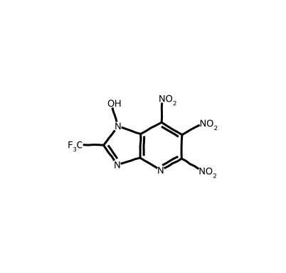 O=[N+]([O-])c1nc2nc(C(F)(F)F)n(O)c2c([N+](=O)[O-])c1[N+](=O)[O-]